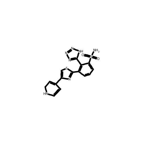 NS(=O)(=O)c1cccc(-c2nc(C3=CCNC=C3)cs2)c1-c1nnn[nH]1